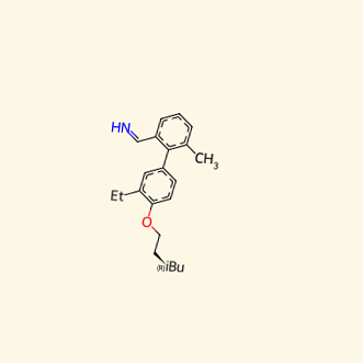 CCc1cc(-c2c(C)cccc2C=N)ccc1OCC[C@H](C)CC